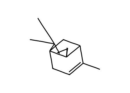 CC1=CCC23CC1C2(C)CCCC3(C)C